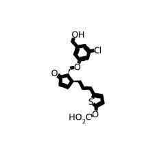 O=C(O)Oc1ccc(CCC[C@H]2C=CC(=O)[C@@H]2COc2cc(Cl)cc(CO)c2)s1